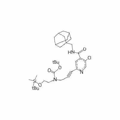 CC(C)(C)OC(=O)N(CC#Cc1cc(C(=O)NCC23CC4CC(CC(C4)C2)C3)c(Cl)cn1)CCO[Si](C)(C)C(C)(C)C